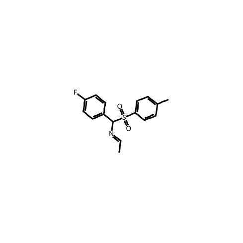 CC=NC(c1ccc(F)cc1)S(=O)(=O)c1ccc(C)cc1